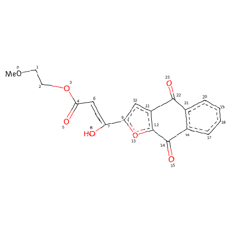 COCCOC(=O)/C=C(\O)c1cc2c(o1)C(=O)c1ccccc1C2=O